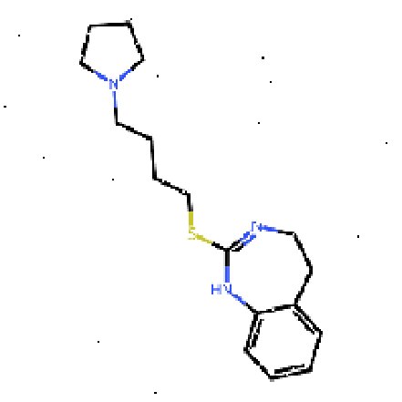 c1ccc2c(c1)CCN=C(SCCCCN1CCCC1)N2